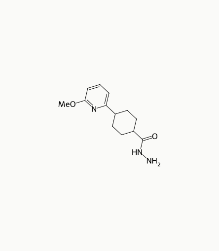 COc1cccc(C2CCC(C(=O)NN)CC2)n1